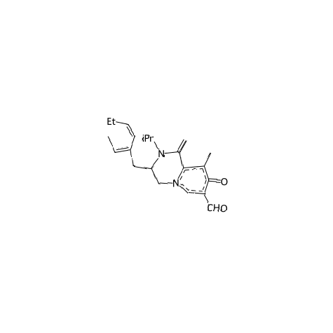 C=C1c2c(C)c(=O)c(C=O)cn2CC(CC(/C=C\CC)=C/C)N1C(C)C